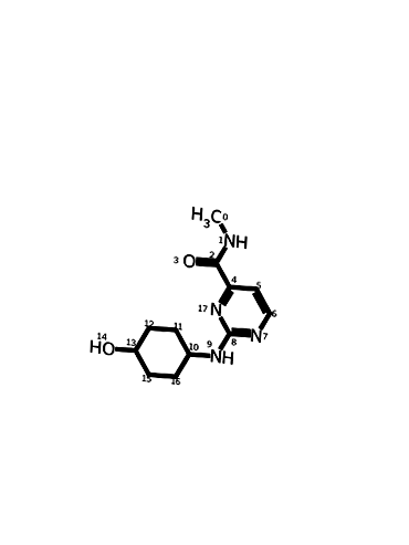 CNC(=O)c1ccnc(NC2CCC(O)CC2)n1